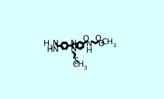 COC(=O)CCNC(=O)c1ccc2c(c1)nc(-c1ccc(C(=N)N)cc1)n2CCCSC